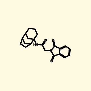 O=C(CN1C(=O)c2ccccc2C1=O)NC12CCCC(C1)C1CCC2C1